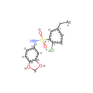 CC(=O)Cc1ccc(Cl)c(S(=O)(=O)Nc2ccc3c(c2)OCO3)c1